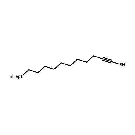 CCCCCCCCCCCCCCCCC#CS